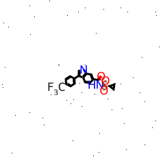 Cn1cc(-c2ccc(C(F)(F)F)cc2)c2ccc(C(=O)NS(=O)(=O)C3CC3)cc21